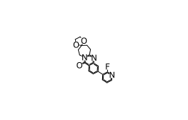 O=c1c2ccc(-c3cccnc3F)cc2nc2n1CCC1(CC2)OCCO1